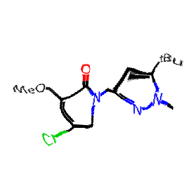 COC1=C(Cl)CN(c2cc(C(C)(C)C)n(C)n2)C1=O